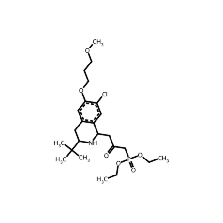 CCOP(=O)(CC(=O)CC1NC(C(C)(C)C)Cc2cc(OCCCOC)c(Cl)cc21)OCC